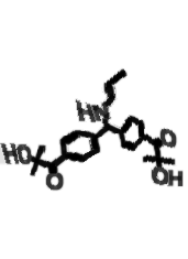 C=CCNC(c1ccc(C(=O)C(C)(C)O)cc1)c1ccc(C(=O)C(C)(C)O)cc1